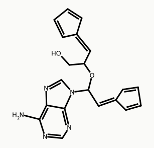 Nc1ncnc2c1ncn2C(C=C1C=CC=C1)OC(C=C1C=CC=C1)CO